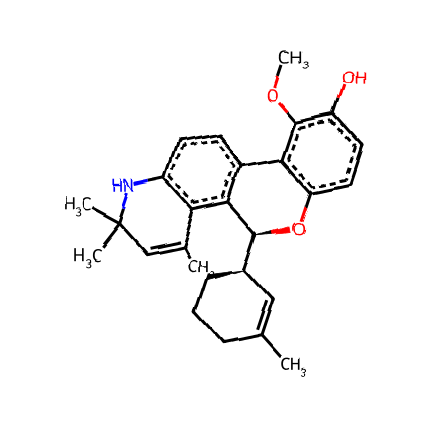 COc1c(O)ccc2c1-c1ccc3c(c1[C@H]([C@H]1C=C(C)CCC1)O2)C(C)=CC(C)(C)N3